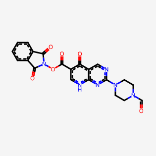 O=CN1CCN(c2ncc3c(=O)c(C(=O)ON4C(=O)c5ccccc5C4=O)c[nH]c3n2)CC1